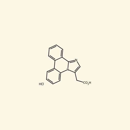 Cl.O=C(O)Cc1cnc2c3ccccc3c3ccccc3n12